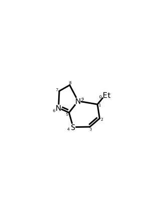 CCC1C=CSC2=NCCN21